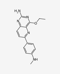 CCOc1nc(N)nc2ccc(-c3ccc(NC)cc3)nc12